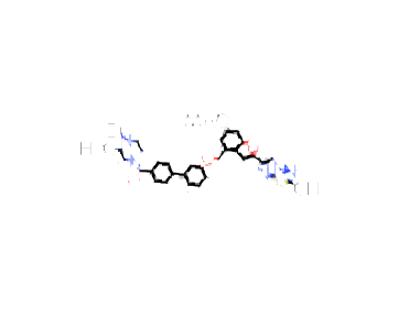 CCN1CCN(C(=O)c2ccc(-c3cccc(OCc4cc(OC)cc5oc(-c6cn7nc(C)sc7n6)cc45)c3)cc2)C[C@@H]1C